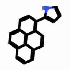 c1c[nH]c(-c2ccc3ccc4cccc5ccc2c3c45)c1